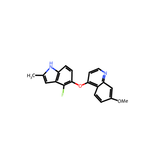 COc1ccc2c(Oc3ccc4[nH]c(C)cc4c3F)ccnc2c1